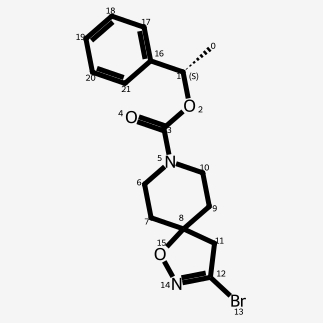 C[C@H](OC(=O)N1CCC2(CC1)CC(Br)=NO2)c1ccccc1